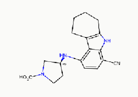 N#Cc1ccc(N[C@H]2CCN(C(=O)O)C2)c2c3c([nH]c12)CCCC3